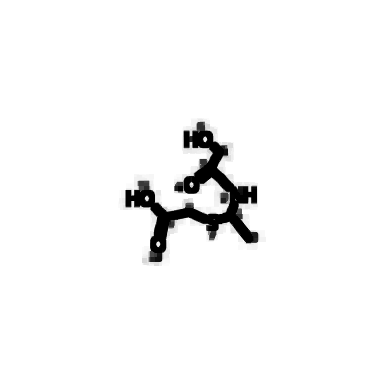 CC(NC(=O)CO)SCC(=O)O